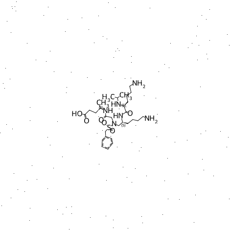 CC(C)N[C@@H](CCCCN)C(=O)N[C@@H](CCCCN)CN(CC(=O)N[C@H](C)CCC(=O)O)S(=O)(=O)Cc1ccccc1